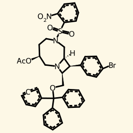 CC(=O)O[C@H]1CCN(S(=O)(=O)c2ccccc2[N+](=O)[O-])C[C@H]2[C@@H](c3ccc(Br)cc3)[C@@H](COC(c3ccccc3)(c3ccccc3)c3ccccc3)N2C1